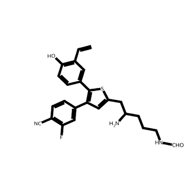 C=Cc1cc(-c2sc(CC(N)CCCNC=O)cc2-c2ccc(C#N)c(F)c2)ccc1O